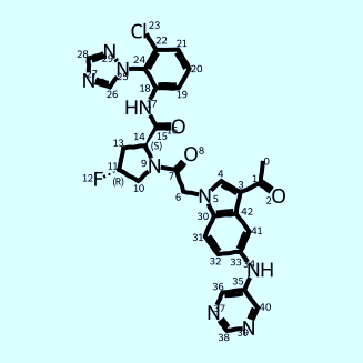 CC(=O)c1cn(CC(=O)N2C[C@H](F)C[C@H]2C(=O)Nc2cccc(Cl)c2-n2cncn2)c2ccc(Nc3cncnc3)cc12